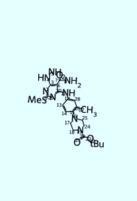 CSc1nc(NN)c(C(N)=O)c(Nc2ccc(N3CCN(C(=O)OC(C)(C)C)CC3)c(C)c2)n1